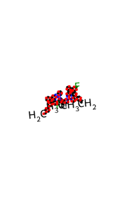 C=CC1C=CC(C2CC=C(C3(C4C=CC(F)=CC4)C4=C(C=CC(N(C5=CC6C7C=C(N(C8=CC=CCC8)c8ccc9c(c8)C(C8C=CC(C%10=CCC(C=C)CC%10)=CC8)(C8CC=C(F)CC8)c8ccccc8-9)CCC7[Si](C)(C)C6C=C5)c5ccccc5)C4)C4C=CCCC43)CC2)=CC1